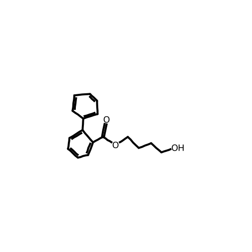 O=C(OCCCCO)c1ccccc1-c1ccccc1